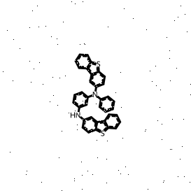 c1ccc(N(c2cccc(Nc3ccc4sc5ccccc5c4c3)c2)c2ccc3sc4ccccc4c3c2)cc1